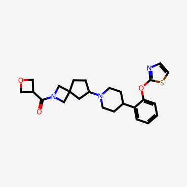 O=C(C1COC1)N1CC2(CCC(N3CCC(c4ccccc4Oc4nccs4)CC3)C2)C1